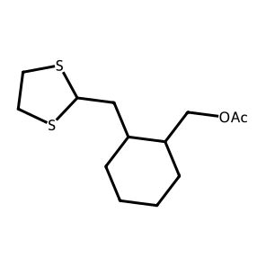 CC(=O)OCC1CCCCC1CC1SCCS1